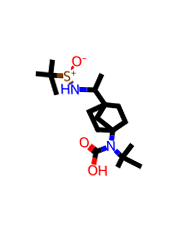 CC(N[S@@+]([O-])C(C)(C)C)C12CCC(N(C(=O)O)C(C)(C)C)(CC1)C2